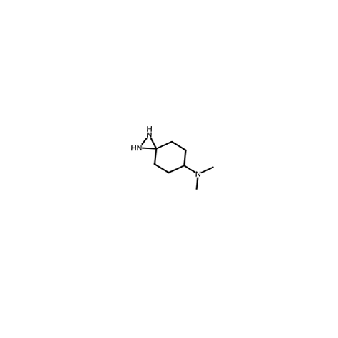 CN(C)C1CCC2(CC1)NN2